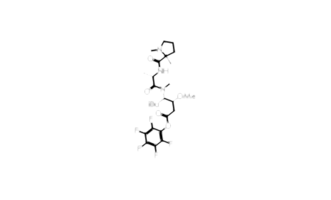 CC[C@H](C)[C@@H]([C@@H](CC(=O)Oc1c(F)c(F)c(F)c(F)c1F)OC)N(C)C(=O)[C@H](C)NC(=O)[C@@]1(C)CCCN1C